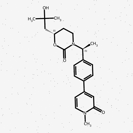 C[C@@H](c1ccc(-c2ccn(C)c(=O)c2)cc1)N1CC[C@@H](CC(C)(C)O)OC1=O